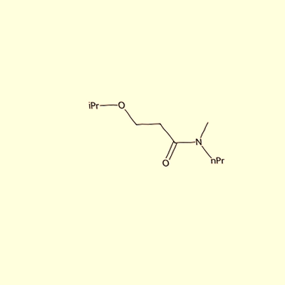 CCCN(C)C(=O)CCOC(C)C